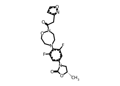 C[C@H]1CN(c2cc(F)c(N3CCON(C(=O)Cc4ccon4)CC3)c(F)c2)C(=O)O1